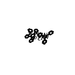 N#Cc1cc(-n2c3ccccc3c3c2c2oc4ccccc4c2c2c4ccccc4n(-c4ccccc4)c23)ccc1-c1nc(-c2ccccc2)nc(-c2ccccc2)n1